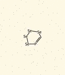 c1p[se][se][se][se]1